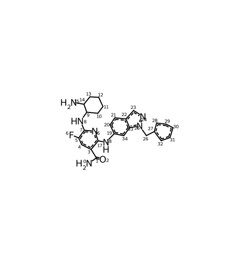 NC(=O)c1cc(F)c(NC2CCCCC2N)nc1Nc1ccc2cnn(Cc3ccccc3)c2c1